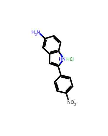 Cl.Nc1ccc2[nH]c(-c3ccc([N+](=O)[O-])cc3)cc2c1